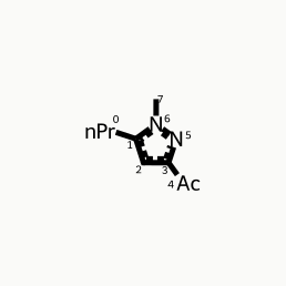 CCCc1cc(C(C)=O)nn1C